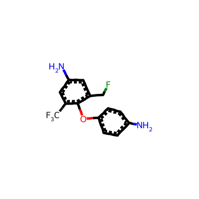 Nc1ccc(Oc2c(CF)cc(N)cc2C(F)(F)F)cc1